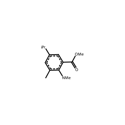 CNc1c(C)cc(C(C)C)cc1C(=O)OC